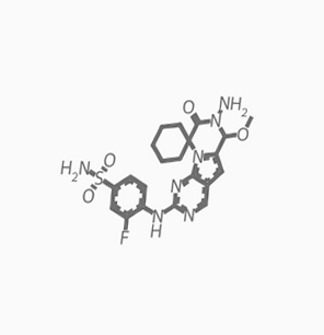 COC1c2cc3cnc(Nc4ccc(S(N)(=O)=O)cc4F)nc3n2C2(CCCCC2)C(=O)N1N